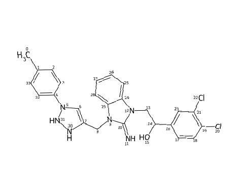 Cc1ccc(N2C=C(Cn3c(=N)n(CC(O)c4ccc(Cl)c(Cl)c4)c4ccccc43)NN2)cc1